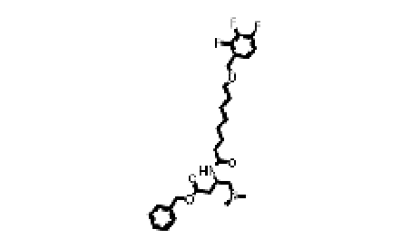 CN(C)CC(CC(=O)OCc1ccccc1)NC(=O)CCCCCCCOCc1ccc(F)c(F)c1F